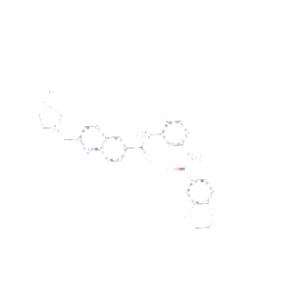 Cc1ccc(NC(=O)c2ccc3c(c2)OCCO3)cc1NC(=O)c1ccc2nc(CN3CC[C@H](F)C3)ccc2c1